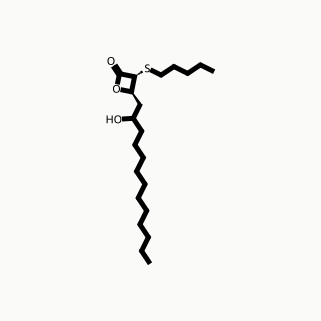 CCCCCCCCCCCC(O)C[C@H]1OC(=O)[C@@H]1SCCCCC